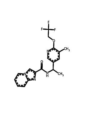 Cc1cc(C(C)NC(=O)c2cn3ccccc3n2)cnc1OCC(F)(F)F